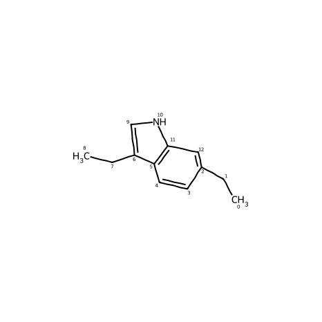 CCc1ccc2c(CC)c[nH]c2c1